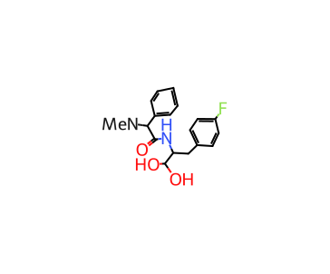 CNC(C(=O)NC(Cc1ccc(F)cc1)C(O)O)c1ccccc1